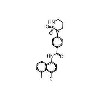 Cc1cccc2c(NC(=O)c3ccc(N4CCCNS4(=O)=O)cc3)ccc(Cl)c12